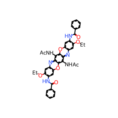 CCOc1cc2c(cc1NC(=O)c1ccccc1)Oc1c(NC(C)=O)c3c(c(NC(C)=O)c1=N2)Oc1cc(NC(=O)c2ccccc2)c(OCC)cc1N=3